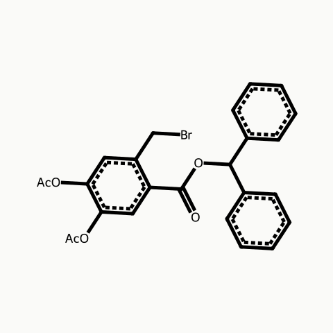 CC(=O)Oc1cc(CBr)c(C(=O)OC(c2ccccc2)c2ccccc2)cc1OC(C)=O